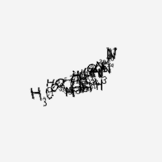 CCOC[C@@]1(O)CC[C@H]2[C@H](CC[C@@H]3[C@@H]2CC[C@]2(C)[C@@H](C(=O)Nc4ncc(C#N)cn4)CC[C@@H]32)C1